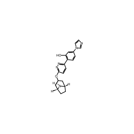 CN1[C@@H]2CC[C@H]1CC(Oc1ccc(-c3ccc(-n4ccnc4)cc3O)nn1)C2